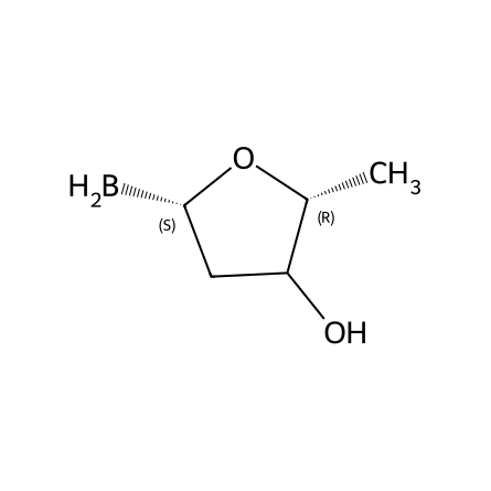 B[C@H]1CC(O)[C@@H](C)O1